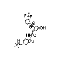 CC(C)(C)NCc1ccc2c(c1)CCC[C@H]2NC(=O)C[C@@H]1C[C@@H](O)CC1S(=O)(=O)c1cccc(C(F)(F)F)c1